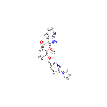 CCOc1c(OCc2ccc(N3CCCC3)nc2)cccc1C(=O)c1c[nH]c2ncccc12